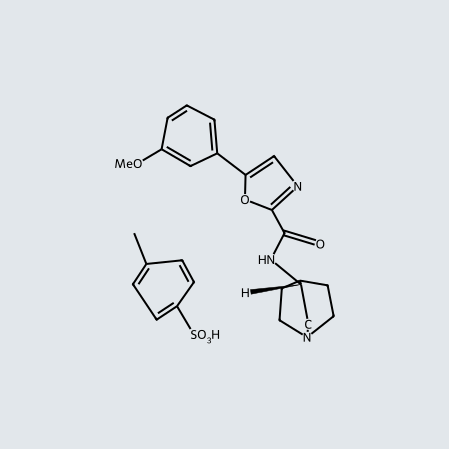 COc1cccc(-c2cnc(C(=O)N[C@H]3CN4CCC3CC4)o2)c1.Cc1ccc(S(=O)(=O)O)cc1